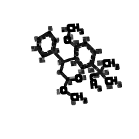 COC(=O)CC(c1ccccc1)c1cc(C(C)(C)C)ccc1OC